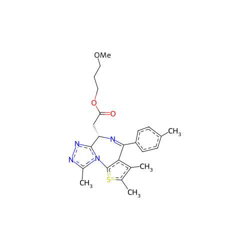 COCCCOC(=O)C[C@@H]1N=C(c2ccc(C)cc2)c2c(sc(C)c2C)-n2c(C)nnc21